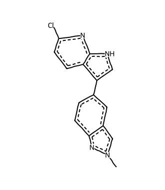 Cn1cc2cc(-c3c[nH]c4nc(Cl)ccc34)ccc2n1